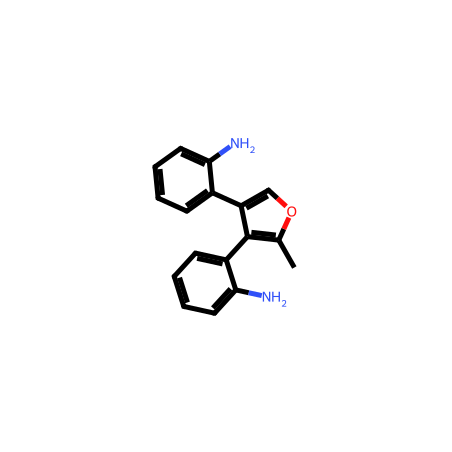 Cc1occ(-c2ccccc2N)c1-c1ccccc1N